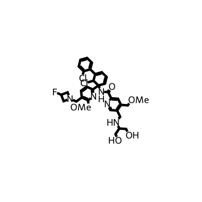 COCc1cc(C(=O)NC2(c3ccc(CN4CC(F)C4)c(OC)n3)C=CC=C(c3ccccc3Cl)C2Cl)ncc1CNC(CO)CO